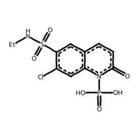 CCNS(=O)(=O)c1cc2c[c]c(=O)n(P(=O)(O)O)c2cc1Cl